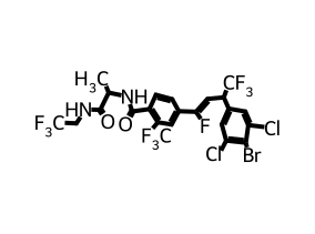 CC(NC(=O)c1ccc(/C(F)=C/C(c2cc(Cl)c(Br)c(Cl)c2)C(F)(F)F)cc1C(F)(F)F)C(=O)NCC(F)(F)F